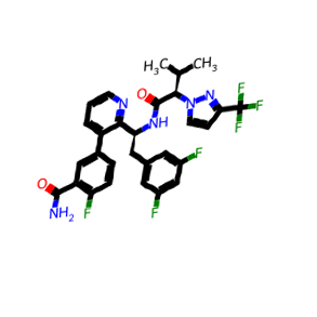 CC(C)[C@H](C(=O)N[C@@H](Cc1cc(F)cc(F)c1)c1ncccc1-c1ccc(F)c(C(N)=O)c1)n1ccc(C(F)(F)F)n1